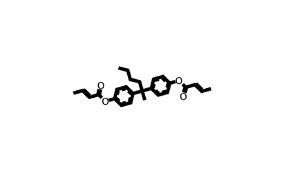 CC=CC(=O)Oc1ccc(C(C)(CCCC)c2ccc(OC(=O)C=CC)cc2)cc1